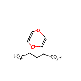 C1=COC=CO1.O=C(O)CCCC(=O)O